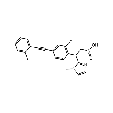 Cc1ccccc1C#Cc1ccc(C(CS(=O)O)c2nccn2C)c(F)c1